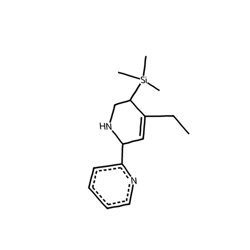 CCC1=CC(c2ccccn2)NCC1[Si](C)(C)C